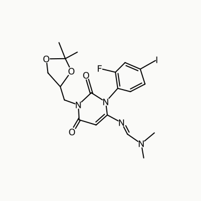 CN(C)C=Nc1cc(=O)n(CC2COC(C)(C)O2)c(=O)n1-c1ccc(I)cc1F